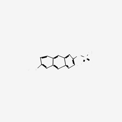 CCCCCCCCc1ccc2cc3cc(OS(=O)(=O)C(F)(F)F)ccc3cc2c1